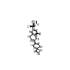 COC(=O)c1cc(F)c2c(c1)CCN(C1CCC3(CC1)CSC3)C2